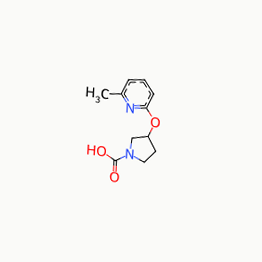 Cc1cccc(OC2CCN(C(=O)O)C2)n1